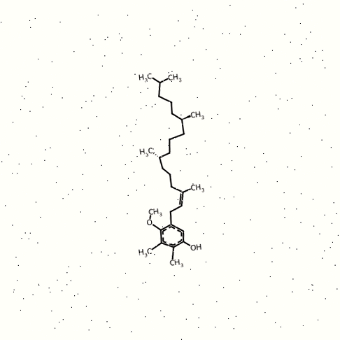 COc1c(CC=C(C)CCC[C@H](C)CCC[C@H](C)CCCC(C)C)cc(O)c(C)c1C